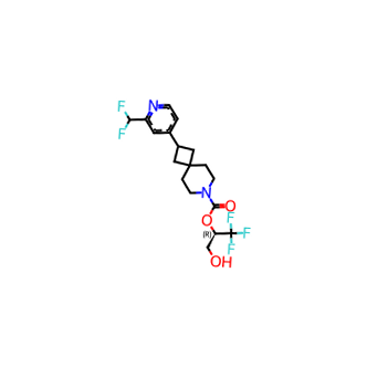 O=C(O[C@H](CO)C(F)(F)F)N1CCC2(CC1)CC(c1ccnc(C(F)F)c1)C2